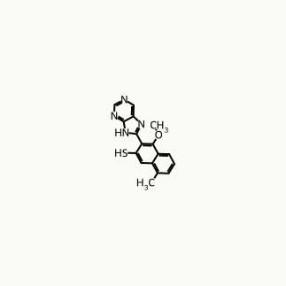 COc1c(-c2nc3cncnc3[nH]2)c(S)cc2c(C)cccc12